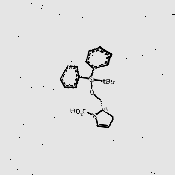 CC(C)(C)[Si](OC[C@@H]1CC=CN1C(=O)O)(c1ccccc1)c1ccccc1